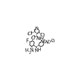 N=C(c1ccc(N2CC(=O)C2)nc1)c1cc(O[C@H](N)c2c(Cl)cncc2Cl)c(F)cc1N